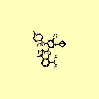 C[C@@H](NC(=O)c1cn(C23CC(C2)C3)c(=O)cc1NC1CCN(C)CC1)c1cccc(C(F)F)c1F